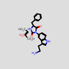 NCCc1c[nH]c2ccc(N3C(=O)NC(Cc4ccccc4)C3=O)cc12.O.O=C(O)C=CC(=O)O